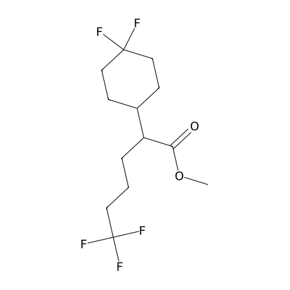 COC(=O)C(CCCC(F)(F)F)C1CCC(F)(F)CC1